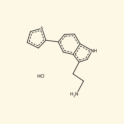 Cl.NCCc1c[nH]c2ccc(-c3cccs3)cc12